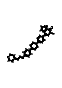 Cn1cc(-c2ccc(N3CCC(c4ccc(OCCN5CCOCC5)cc4)CC3)nc2)c2cc[nH]c2c1=O